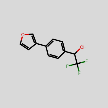 OC(c1ccc(-c2ccoc2)cc1)C(F)(F)F